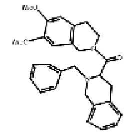 COc1cc2c(cc1OC)CN(C(=O)C1Cc3ccccc3CN1Cc1ccccc1)CC2